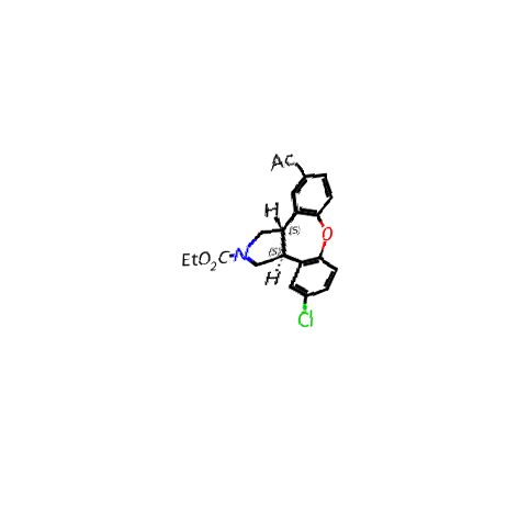 CCOC(=O)N1C[C@@H]2c3cc(Cl)ccc3Oc3ccc(C(C)=O)cc3[C@H]2C1